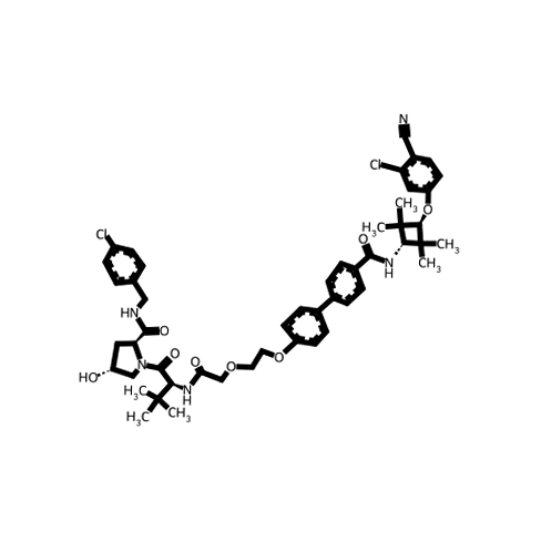 CC(C)(C)[C@H](NC(=O)COCCOc1ccc(-c2ccc(C(=O)N[C@H]3C(C)(C)[C@H](Oc4ccc(C#N)c(Cl)c4)C3(C)C)cc2)cc1)C(=O)N1C[C@H](O)C[C@H]1C(=O)NCc1ccc(Cl)cc1